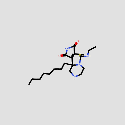 CCCCCCCCC1(C2=C(C)C(=O)NC2=O)CNCCN1C(=S)NCC